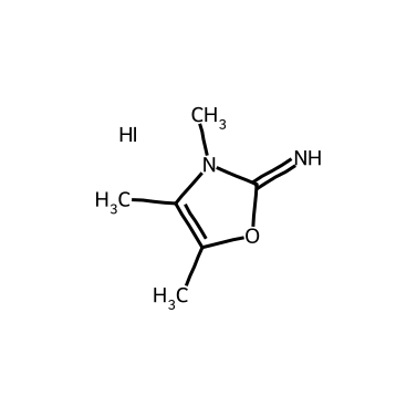 Cc1oc(=N)n(C)c1C.I